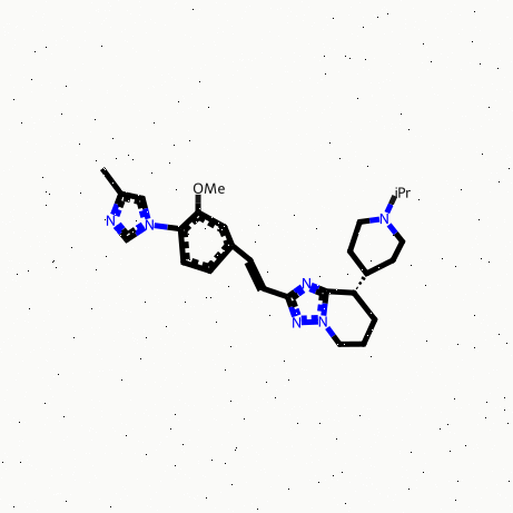 COc1cc(/C=C/c2nc3n(n2)CCC[C@H]3C2CCN(C(C)C)CC2)ccc1-n1cnc(C)c1